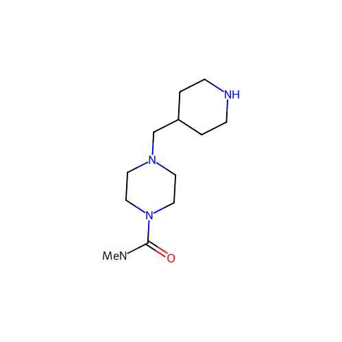 CNC(=O)N1CCN(CC2CCNCC2)CC1